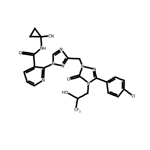 N#CC1(NC(=O)c2cccnc2-n2cnc(Cn3nc(-c4ccc(Cl)cc4)n(CC(O)C(F)(F)F)c3=O)n2)CC1